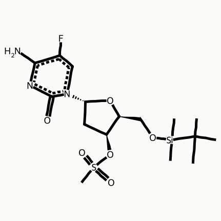 CC(C)(C)[Si](C)(C)OC[C@@H]1O[C@@H](n2cc(F)c(N)nc2=O)C[C@@H]1OS(C)(=O)=O